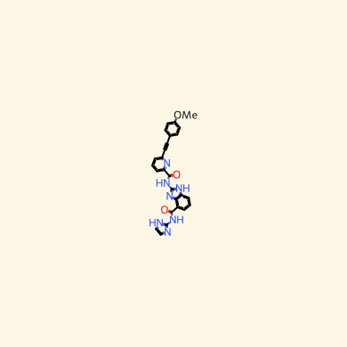 COc1ccc(C#Cc2cccc(C(=O)Nc3nc4c(C(=O)Nc5ncc[nH]5)cccc4[nH]3)n2)cc1